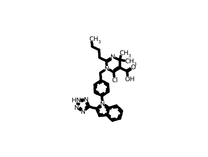 CCCCC1=NC(C)(C)C(C(=O)O)=C(Cl)N1Cc1ccc(-n2c(-c3nn[nH]n3)cc3ccccc32)cc1